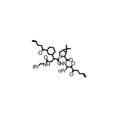 C=CCCC(=O)C(=O)C(CCC)NC(=O)C1C2C(CN1C(=O)C(CC(=O)NCC(C)C)C1CCCC(C(=O)CCC=C)C1)C2(C)C